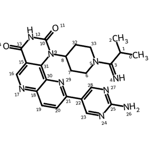 CC(C)C(=N)N1CCC(n2c(=O)[nH]c(=O)c3cnc4ccc(-c5cnc(N)nc5)nc4c32)CC1